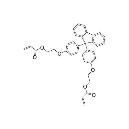 C=CC(=O)OCCOc1ccc(C2(c3ccc(OCCOC(=O)C=C)cc3)c3ccccc3-c3ccccc32)cc1